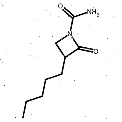 CCCCCC1CN(C(N)=O)C1=O